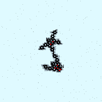 Cc1ccc(-c2ccc3c(c2)c2cc(-c4ccc(C)cc4C)ccc2n3-c2cncc(-n3c4ccc(-c5ccc(C)cc5C)cc4c4cc(-c5ccc(CCc6ccc(-c7ccc8c9ccc(-c%10ccc(C)cc%10C)cc9n(-c9cncc(-n%10c%11cc(-c%12ccc(C)cc%12C)ccc%11c%11ccc(-c%12ccc(C)cc%12C)cc%11%10)c9-c9cccc(C#N)c9)c8c7)c(C)c6)cc5C)ccc43)c2-c2cccc(C#N)c2)c(C)c1